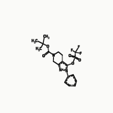 CC(C)(C)OC(=O)N1CCc2c(nn(-c3ccccc3)c2OS(=O)(=O)C(F)(F)F)C1